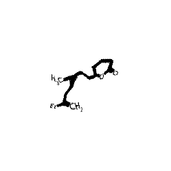 C=C(CC)CCC(C)CCC1CCCC(=O)O1